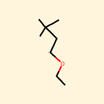 CCO[CH]CC(C)(C)C